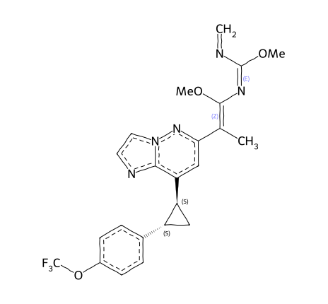 C=N/C(=N\C(OC)=C(/C)c1cc([C@H]2C[C@@H]2c2ccc(OC(F)(F)F)cc2)c2nccn2n1)OC